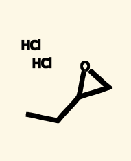 CCC1CO1.Cl.Cl